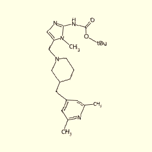 Cc1cc(CC2CCCN(Cc3cnc(NC(=O)OC(C)(C)C)n3C)C2)cc(C)n1